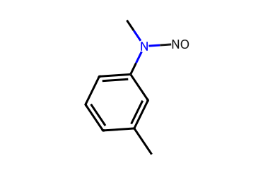 Cc1cccc(N(C)N=O)c1